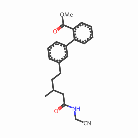 COC(=O)c1ccccc1-c1cccc(CCC(C)CC(=O)NCC#N)c1